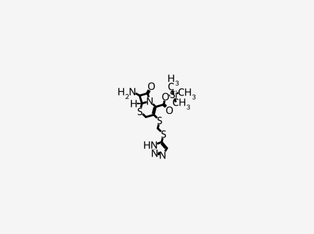 C[Si](C)(C)OC(=O)C1=C(SCSc2cnn[nH]2)CS[C@@H]2C(N)C(=O)N12